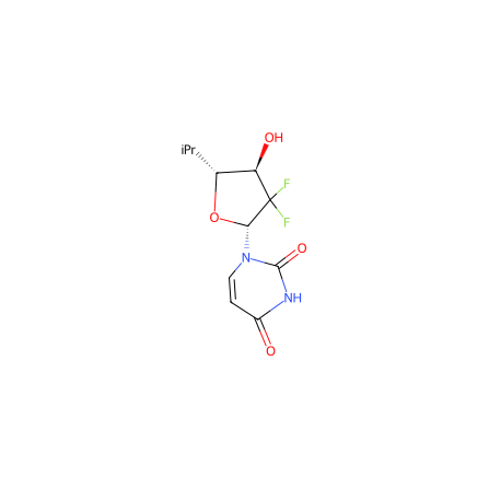 CC(C)[C@H]1O[C@@H](n2ccc(=O)[nH]c2=O)C(F)(F)[C@@H]1O